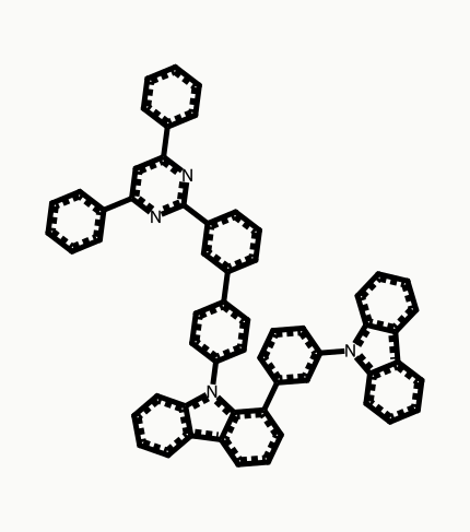 c1ccc(-c2cc(-c3ccccc3)nc(-c3cccc(-c4ccc(-n5c6ccccc6c6cccc(-c7cccc(-n8c9ccccc9c9ccccc98)c7)c65)cc4)c3)n2)cc1